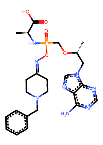 C[C@H](Cn1cnc2c(N)ncnc21)OCP(=O)(N[C@@H](C)C(=O)O)ON=C1CCN(Cc2ccccc2)CC1